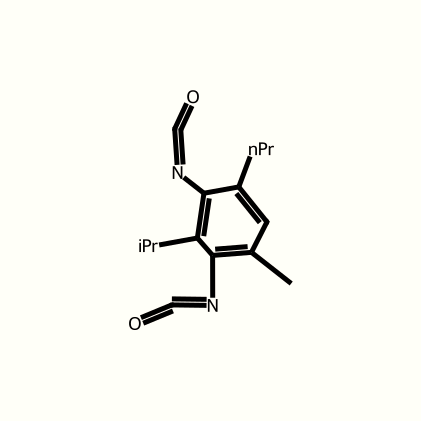 CCCc1cc(C)c(N=C=O)c(C(C)C)c1N=C=O